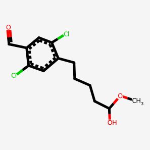 COC(O)CCCCc1cc(Cl)c(C=O)cc1Cl